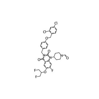 O=CN1CCC(n2c(=O)n(Cc3ccc(OCc4ccc(Cl)cc4Cl)cc3)c(=O)c3cc(OC(CF)CF)c(F)cc32)CC1